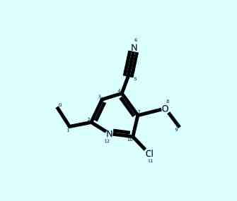 CCc1cc(C#N)c(OC)c(Cl)n1